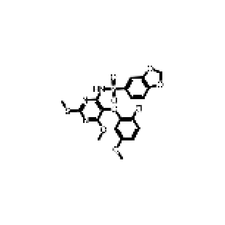 COc1ccc(Cl)c(Oc2c(NS(=O)(=O)c3ccc4c(c3)OCO4)nc(SC)nc2OC)c1